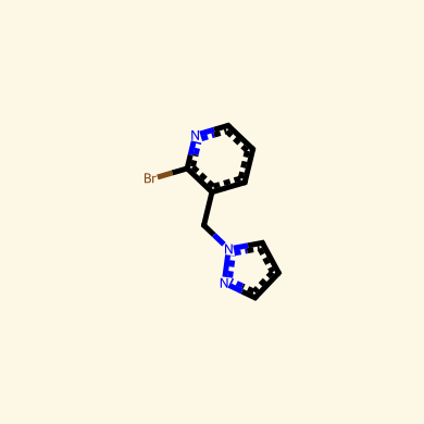 Brc1ncccc1Cn1cccn1